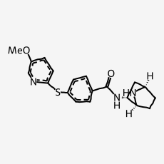 COc1ccc(Sc2ccc(C(=O)N[C@@H]3C[C@H]4CC[C@@H]3N4)cc2)nc1